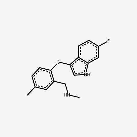 CNCc1cc(C)ccc1Sc1c[nH]c2cc(F)ccc12